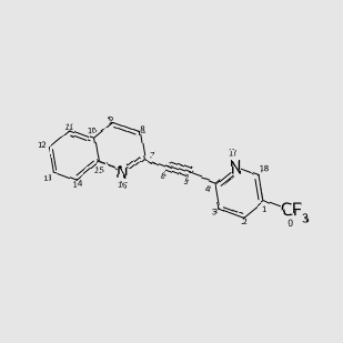 FC(F)(F)c1ccc(C#Cc2ccc3ccccc3n2)nc1